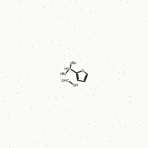 CCC[CH2][SnH]([CH2]CCC)[c]1ccco1.O=CO